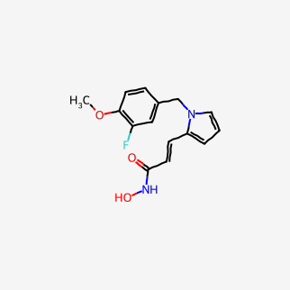 COc1ccc(Cn2cccc2/C=C/C(=O)NO)cc1F